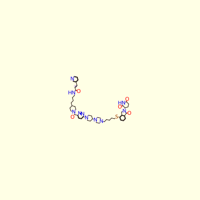 O=C(/C=C/c1cccnc1)NCCCCC1CCN(C(=O)c2ccc(N3CCC(N4CCN(CCCCCSc5cccc6c5CN(C5CCC(=O)NC5=O)C6=O)CC4)CC3)nn2)CC1